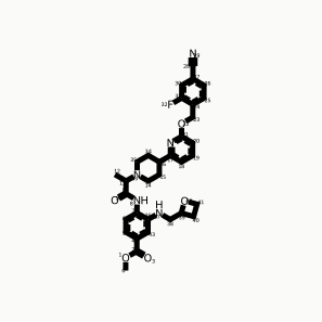 COC(=O)c1ccc(NC(=O)C(C)N2CCC(c3cccc(OCc4ccc(C#N)cc4F)n3)CC2)c(NCC2CCO2)c1